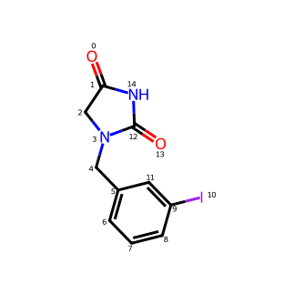 O=C1CN(Cc2cccc(I)c2)C(=O)N1